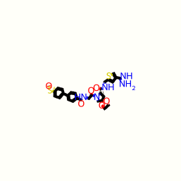 N=C(N)c1csc(CNC(=O)[C@@H]2CC3(CN2C(=O)CNC(=O)c2ccc(-c4ccc([S+]=O)cc4)cc2)OCCO3)c1